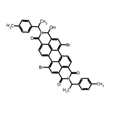 Cc1ccc(C(C)N2C(=O)c3ccc4c5c(Br)cc6c7c(ccc(c8c(Br)cc(c3c48)C2=O)c75)C(=O)N(C(C)c2ccc(C)cc2)C6O)cc1